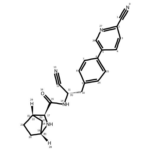 N#Cc1ccc(-c2ccc(C[C@@H](C#N)NC(=O)[C@H]3N[C@@H]4CC[C@H]3C4)cc2)cn1